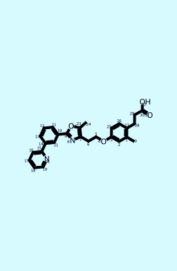 Cc1cc(OCCc2nc(-c3cccc(-c4ccccn4)c3)oc2C)ccc1CCC(=O)O